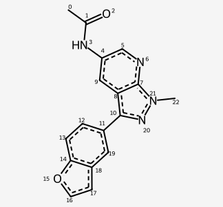 CC(=O)Nc1cnc2c(c1)c(-c1ccc3occc3c1)nn2C